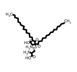 CCCCCCCCCCCCCCCC(=O)C(SSCC(N)C(=O)O)(C(=O)CCCCCCCCCCCCCCC)C(N)C(=O)O